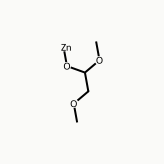 COCC(OC)[O][Zn]